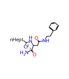 CCCCCCCC(NC(CC(=O)NCCc1ccccc1)C(N)=O)C(F)(F)F